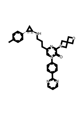 Cc1ccc([C@@H]2C[C@H]2NCCCc2cn(-c3ccc(-c4ncccn4)cc3)c(=O)c(N3CC4(COC4)C3)n2)cc1